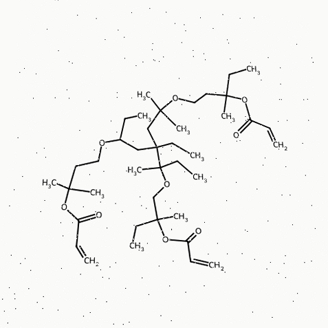 C=CC(=O)OC(C)(C)CCOC(CC)CC(CC)(CC(C)(C)OCCC(C)(CC)OC(=O)C=C)C(C)(CC)OCC(C)(CC)OC(=O)C=C